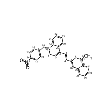 CN1CC(C=CC2=CCN(Cc3ccc([N+](=O)[O-])cc3)c3ccccc32)=Cc2ccccc21